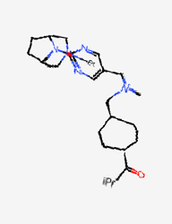 CC(C)C(=O)[C@H]1CC[C@@H](CN(C)Cc2cnc(N3C4CCC3CN(C(C)C)C4)nc2)CC1